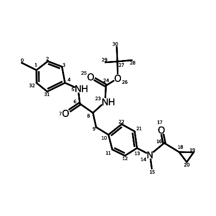 Cc1ccc(NC(=O)C(Cc2ccc(N(C)C(=O)C3CC3)cc2)NC(=O)OC(C)(C)C)cc1